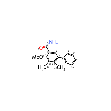 COc1c(C(N)=O)cc(-c2ccccc2)c(C)c1C